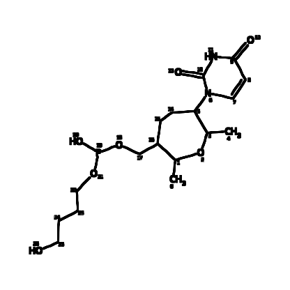 CC1OC(C)C(n2ccc(=O)[nH]c2=O)CCC1COP(O)OCCCCO